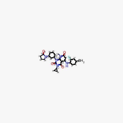 Bc1ccc(Nc2cc(=O)n(C)c3c2c(=O)n(C2CC2)c(=O)n3-c2cccc(N3CCCC3=O)c2)c(F)c1